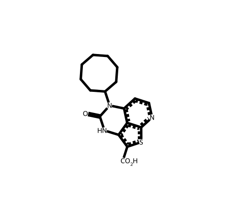 O=C(O)c1sc2nccc3c2c1NC(=O)N3C1CCCCCCC1